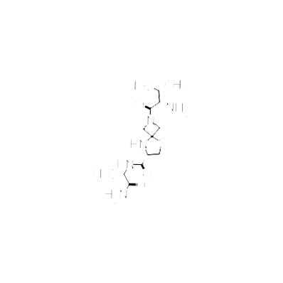 C[C@H](NC(=O)[C@@H]1CSC2(CN(C(=O)[C@@H](N)[C@@H](C)O)C2)N1)C(N)=O